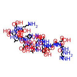 CC(C)C[C@H](NC(=O)[C@H](Cc1ccc(O)cc1)NC(=O)[C@H](CCC(=O)O)NC(=O)[C@@H](NC(=O)[C@@H](NC(=O)[C@H](CC(=O)O)NC(=O)[C@H](CC(N)=O)NC(=O)[C@@H](NC(=O)[C@H](Cc1ccc(O)cc1)NC(=O)[C@@H](NC(=O)CNC(=O)[C@H](CCC(=O)O)NC(=O)C(C)(C)NC(=O)[C@@H](N)Cc1c[nH]cn1)[C@@H](C)O)[C@@H](C)O)C(C)C)[C@@H](C)O)C(=O)N[C@@H](CCC(=O)O)C(=O)N[C@@H](CCC(=O)O)C(=O)N[C@@H](CCCCN)C(=O)O